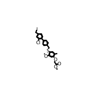 COC(=O)COc1cc(OC)c(SCc2ccc(-c3ccc(CI)cc3Cl)cc2)cc1C